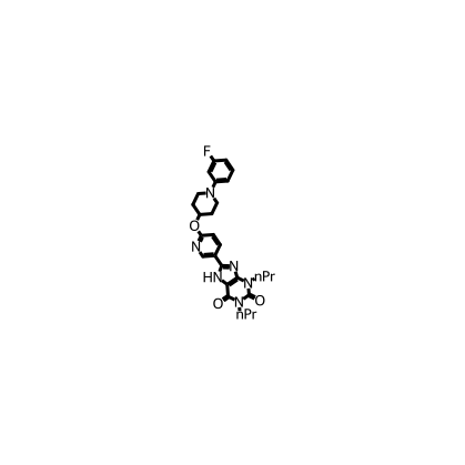 CCCn1c(=O)c2[nH]c(-c3ccc(OC4CCN(c5cccc(F)c5)CC4)nc3)nc2n(CCC)c1=O